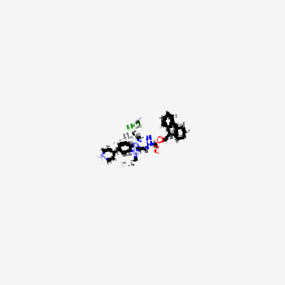 CCn1c(CNC(=O)OCC2c3ccccc3-c3ccccc32)[n+](CC)c2ccc(C3CCNCC3)cc21.Cl.[I-]